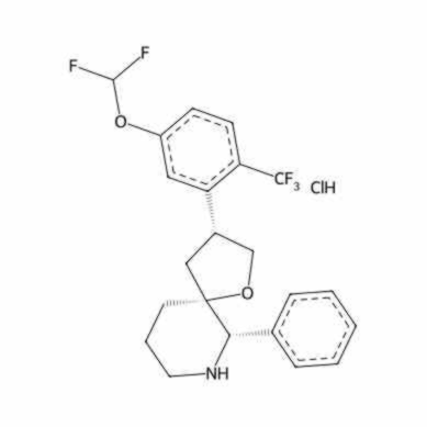 Cl.FC(F)Oc1ccc(C(F)(F)F)c([C@@H]2CO[C@]3(CCCN[C@H]3c3ccccc3)C2)c1